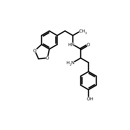 CC(Cc1ccc2c(c1)OCO2)NC(=O)C(N)Cc1ccc(O)cc1